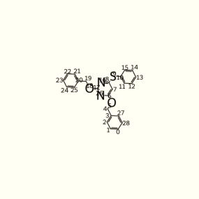 c1ccc(COc2cc(Sc3ccccc3)nc(OCc3ccccc3)n2)cc1